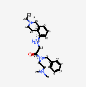 CN(C)CCN(Cc1ccccc1)C(=O)CNc1cccc2c1CCN(CC(F)(F)F)C2